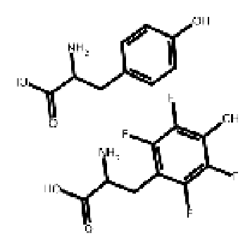 NC(Cc1c(F)c(F)c(O)c(F)c1F)C(=O)O.NC(Cc1ccc(O)cc1)C(=O)O